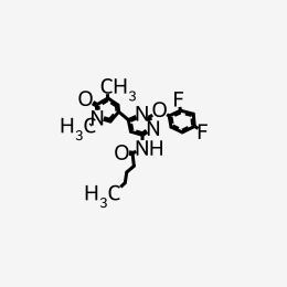 CCCCC(=O)Nc1cc(-c2cc(C)c(=O)n(C)c2)nc(Oc2ccc(F)cc2F)n1